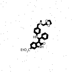 CCOC(=O)c1ccc2c(c1)NC(=O)C2=C(Nc1ccc(CN(C)CC2OCCO2)cc1)c1ccccc1